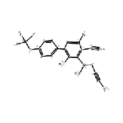 CC#CCN(C)c1c(C)c(-c2ccc(OC(F)(F)F)cc2)cc(Br)c1C#N